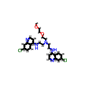 COCCOCCN(CCNc1ccnc2cc(Cl)ccc12)CCNc1ccnc2cc(Cl)ccc12